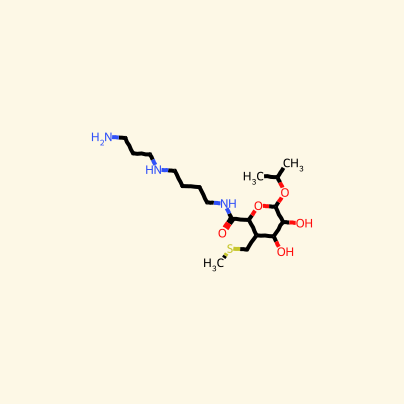 CSCC1C(C(=O)NCCCCNCCCN)OC(OC(C)C)C(O)C1O